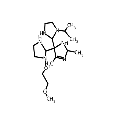 COCCON1CCNC1C1(C2NCCN2C(C)C)N[C](C)N=C1C